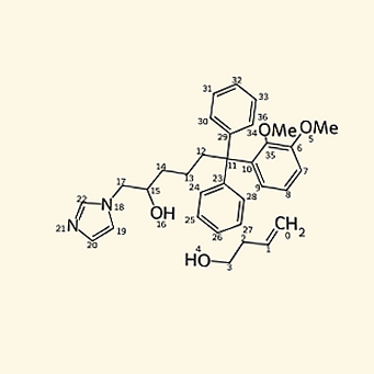 C=CCCO.COc1cccc(C(CCCC(O)Cn2ccnc2)(c2ccccc2)c2ccccc2)c1OC